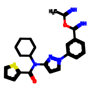 CC(=N)OC(=N)c1cccc(-n2ccc(N(C(=O)c3cccs3)C3CCCCC3)n2)c1